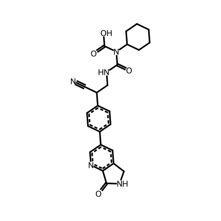 N#CC(CNC(=O)N(C(=O)O)C1CCCCC1)c1ccc(-c2cnc3c(c2)CNC3=O)cc1